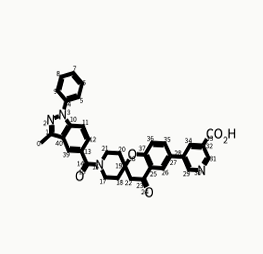 Cc1nn(-c2ccccc2)c2ccc(C(=O)N3CCC4(CC3)CC(=O)c3cc(-c5cncc(C(=O)O)c5)ccc3O4)cc12